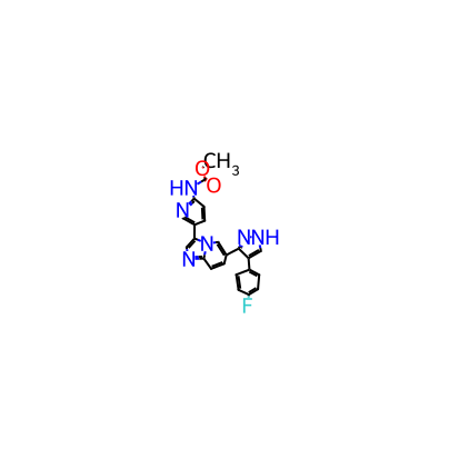 COC(=O)Nc1ccc(-c2cnc3ccc(-c4n[nH]cc4-c4ccc(F)cc4)cn23)cn1